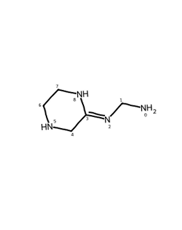 NC/N=C1/CNCCN1